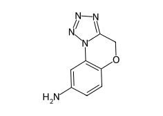 Nc1ccc2c(c1)-n1nnnc1CO2